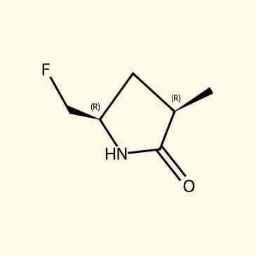 C[C@@H]1C[C@H](CF)NC1=O